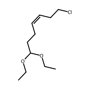 CCOC(CC/C=C\CCCl)OCC